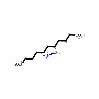 CCCCCCCCC=CCCCCCCCC(=O)O.CN